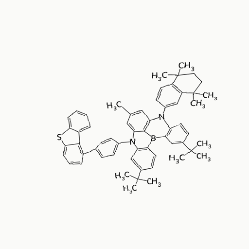 Cc1cc2c3c(c1)N(c1ccc(-c4cccc5sc6ccccc6c45)cc1)c1cc(C(C)(C)C)ccc1B3c1cc(C(C)(C)C)ccc1N2c1ccc2c(c1)C(C)(C)CCC2(C)C